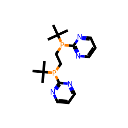 CC(C)(C)P(CCP(c1ncccn1)C(C)(C)C)c1ncccn1